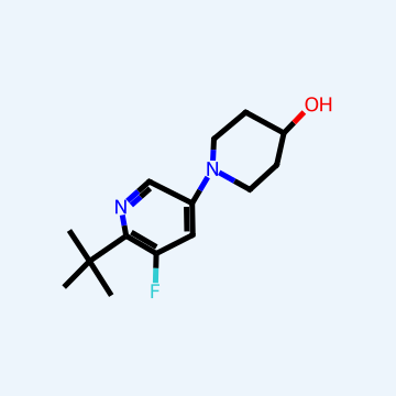 CC(C)(C)c1ncc(N2CCC(O)CC2)cc1F